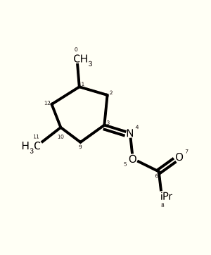 CC1CC(=NOC(=O)C(C)C)CC(C)C1